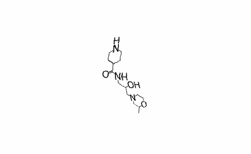 CC1CN(CC(O)CNC(=O)C2CCNCC2)CCO1